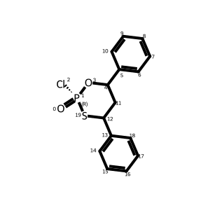 O=[P@@]1(Cl)OC(c2ccccc2)CC(c2ccccc2)S1